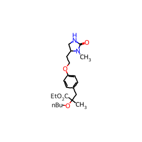 CCCCOC(C)(Cc1ccc(OCCC2CNC(=O)N2C)cc1)C(=O)OCC